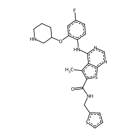 Cc1c(C(=O)NCc2cccs2)sc2ncnc(Nc3ccc(F)cc3OC3CCCNC3)c12